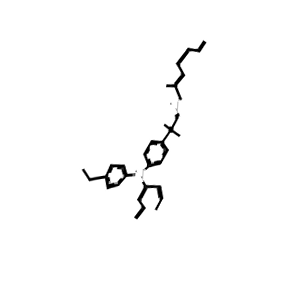 C=C/C=C\C=C(/C)C/N=C/C(C)(C)c1ccc(N(C(/C=C\C)=C/C=C)c2ccc(CC)cc2)cc1